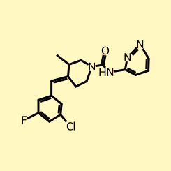 CC1CN(C(=O)Nc2cccnn2)CCC1=Cc1cc(F)cc(Cl)c1